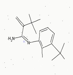 C=C(/C(N)=N\c1cccc(C(C)(C)C)c1C)C(C)(C)C